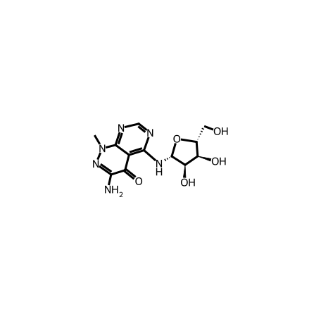 Cn1nc(N)c(=O)c2c(N[C@@H]3O[C@H](CO)[C@@H](O)[C@H]3O)ncnc21